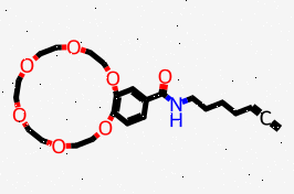 C=C=CCCCCNC(=O)c1ccc2c(c1)OCCOCCOCCOCCOCCO2